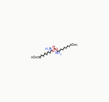 CCCCCCCCCCCCCCCCCC(N)OC(=O)OC(N)CCCCCCCCCCCCCCCCC